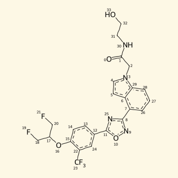 O=C(Cn1ccc2c(-c3noc(-c4ccc(OC(CF)CF)c(C(F)(F)F)c4)n3)cccc21)NCCO